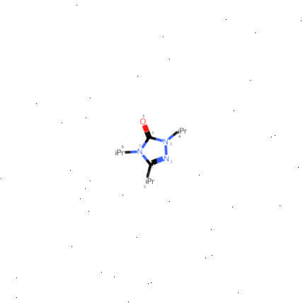 CC(C)c1nn(C(C)C)c(=O)n1C(C)C